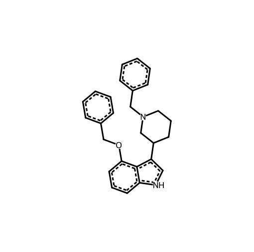 c1ccc(COc2cccc3[nH]cc(C4CCCN(Cc5ccccc5)C4)c23)cc1